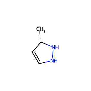 C[C@H]1C=CNN1